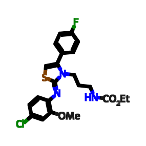 CCOC(=O)NCCCn1c(-c2ccc(F)cc2)cs/c1=N\c1ccc(Cl)cc1OC